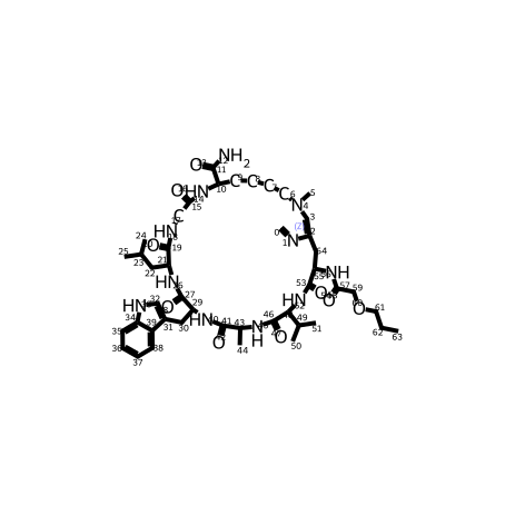 C=N/C1=C\N(C)CCCCC(C(N)=O)NC(=O)CNC(=O)C(CC(C)C)NC(=O)C(Cc2c[nH]c3ccccc23)NC(=O)C(C)NC(=O)C(C(C)C)NC(=O)C(NC(=O)COCCC)C1